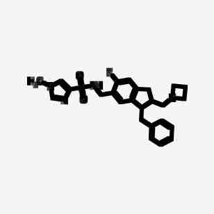 Cn1cnc(S(=O)(=O)NCc2cc3c(cc2F)CC(CN2CCC2)C3Cc2ccccc2)c1